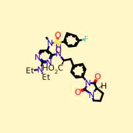 CCN(CC)c1ncc(N(C)S(=O)(=O)c2ccc(F)cc2)c(N[C@@H](Cc2ccc(N3C(=O)[C@H]4CCCN4C3=O)cc2)C(=O)O)n1